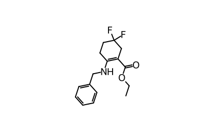 CCOC(=O)C1=C(NCc2ccccc2)CCC(F)(F)C1